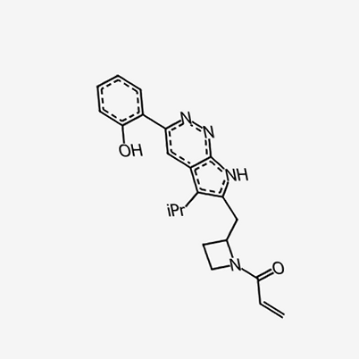 C=CC(=O)N1CCC1Cc1[nH]c2nnc(-c3ccccc3O)cc2c1C(C)C